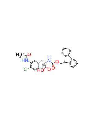 CC(=O)Nc1cc(C[C@H](NC(=O)OCC2c3ccccc3-c3ccccc32)C(=O)O)ccc1Cl